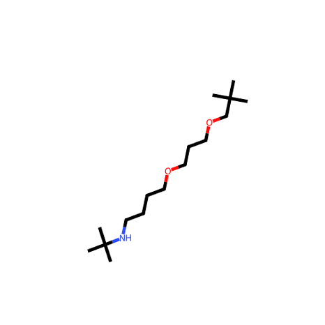 CC(C)(C)COCCCOCCCCNC(C)(C)C